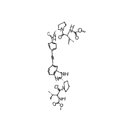 COC(=O)N[C@H](C(=O)N1CCC[C@H]1CNC(=O)c1ccc(C#Cc2ccc3nc([C@@H]4CCCN4C(=O)[C@@H](NC(=O)OC)C(C)C)[nH]c3c2)cc1)C(C)C